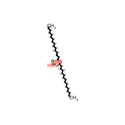 CCCCCCCCCCCCCCCCOCCCCCCCCCCCCCCCC.O=S(=O)(O)O